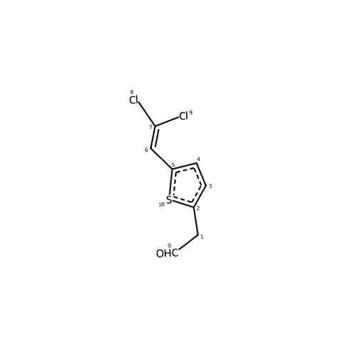 O=CCc1ccc(C=C(Cl)Cl)s1